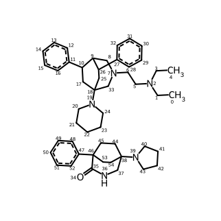 CCN(CC)CCN1CC2C(c3ccccc3)CC(N3CCCCC3)(CC2c2ccccc2)C1.O=C1NCC2(N3CCCC3)CCC1(c1ccccc1)CC2